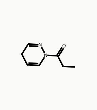 CCC(=O)N1C=CCC=N1